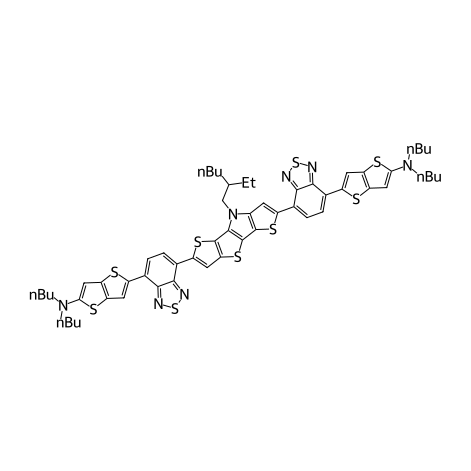 CCCCC(CC)Cn1c2cc(-c3ccc(-c4cc5sc(N(CCCC)CCCC)cc5s4)c4nsnc34)sc2c2sc3cc(-c4ccc(-c5cc6sc(N(CCCC)CCCC)cc6s5)c5nsnc45)sc3c21